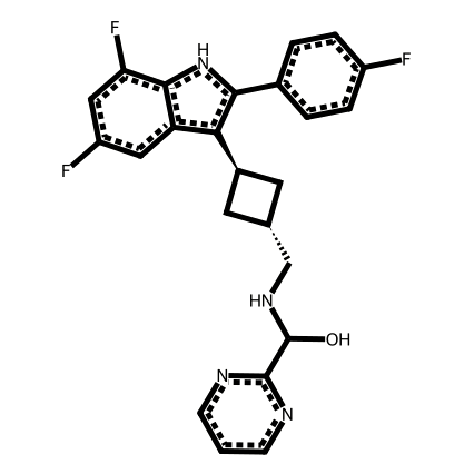 OC(NC[C@H]1C[C@H](c2c(-c3ccc(F)cc3)[nH]c3c(F)cc(F)cc32)C1)c1ncccn1